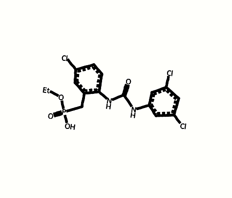 CCOP(=O)(O)Cc1cc(Cl)ccc1NC(=O)Nc1cc(Cl)cc(Cl)c1